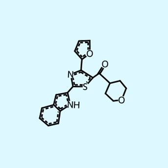 O=C(c1sc(-c2cc3ccccc3[nH]2)nc1-c1ccco1)C1CCOCC1